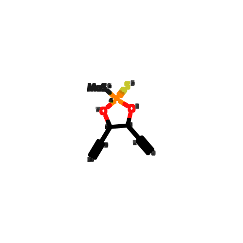 C#CC1OP(=S)(SC)OC1C#C